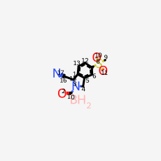 BC(=O)N1Cc2cc(S(C)(=O)=O)ccc2C1C#N